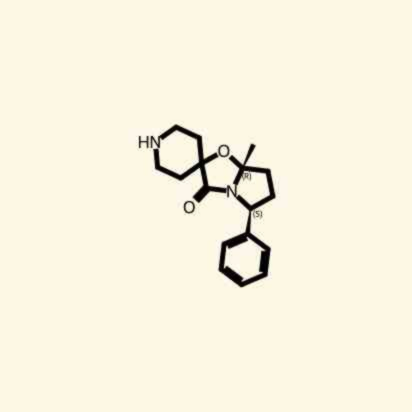 C[C@@]12CC[C@@H](c3ccccc3)N1C(=O)C1(CCNCC1)O2